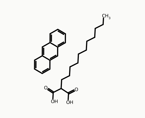 CCCCCCCCCCCC(C(=O)O)C(=O)O.c1ccc2cc3ccccc3cc2c1